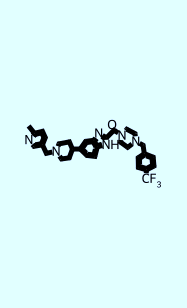 Cc1ccc(CN2CCC(c3ccc4[nH]c(C(=O)N5CCN(Cc6ccc(C(F)(F)F)cc6)CC5)nc4c3)CC2)cn1